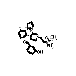 Cc1c(F)cccc1[C@H]1[C@@H](C(=O)c2cccc(O)c2)CN(CCN(C)S(C)(=O)=O)C[C@@H]1N1C=[C]CC1